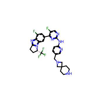 Fc1cnc(Nc2ccc(CN3CC4(CCNCC4)C3)cn2)nc1-c1cc(F)c2nc3n(c2c1)[C@H](C(F)(F)F)CC3